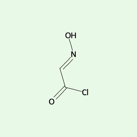 O=C(Cl)C=NO